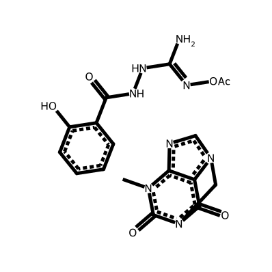 CC(=O)ON=C(N)NNC(=O)c1ccccc1O.Cn1c(=O)n2c(=O)c3c1ncn3C2